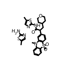 Cc1cnc(N)s1.Cc1cnc(NC(=O)C(CC2CCOCC2)c2ccc3c(c2)N(C)c2ccccc2S3(=O)=O)s1